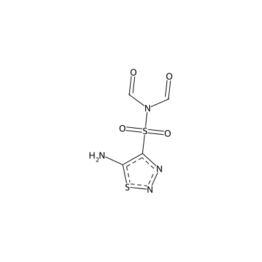 Nc1snnc1S(=O)(=O)N(C=O)C=O